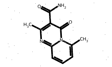 Cc1nc2cccc(C)n2c(=O)c1C(N)=O